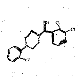 N=C(c1cccc(Cl)c1Cl)N1CCN(c2ccccc2Cl)CC1